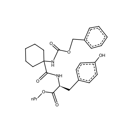 CCCOC(=O)[C@H](Cc1ccc(O)cc1)NC(=O)C1(NC(=O)OCc2ccccc2)CCCCC1